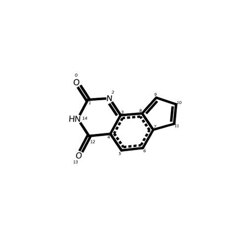 O=C1N=c2c(ccc3c2=CC=C3)C(=O)N1